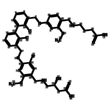 COc1nc(OCc2cccc(-c3cccc(COc4nc(OC)c(CNC[C@@H](O)CC(=O)O)cc4Br)c3Cl)c2Cl)ccc1CNCCCC(=O)O